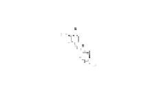 C=Nc1cc2[nH]c(-c3cnc(C(C)(C)C)cn3)nc2cc1N